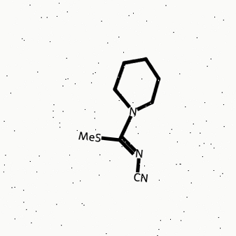 CSC(=NC#N)N1CCCCC1